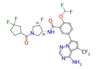 Nc1ncnn2c(-c3ccc(OC(F)F)c(C(=O)N[C@@H]4CN(C(=O)C5CCC(F)(F)C5)C[C@@H]4F)c3)cc(C(F)(F)F)c12